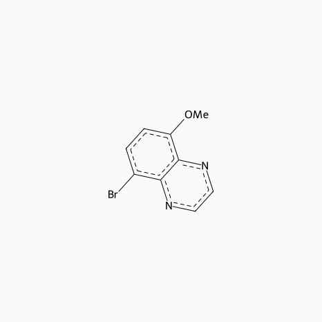 COc1ccc(Br)c2nccnc12